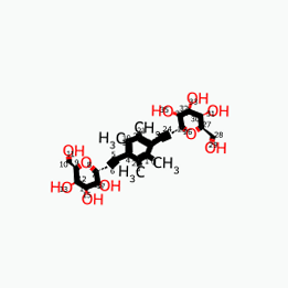 Cc1c(C)c(C#C[C@H]2O[C@H](CO)[C@@H](O)[C@H](O)[C@@H]2O)c(C)c(C)c1C#C[C@H]1O[C@H](CO)[C@@H](O)[C@H](O)[C@@H]1O